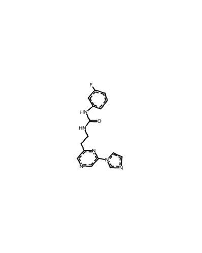 O=C(NCCc1cncc(-n2ccnc2)n1)Nc1cccc(F)c1